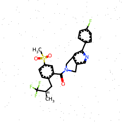 C[C@H](Cc1ccc(S(C)(=O)=O)cc1C(=O)N1Cc2cnc(-c3ccc(F)cc3)cc2C1)C(F)(F)F